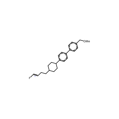 COCc1ccc(-c2ccc(C3CCC(CC/C=C/F)CC3)cc2)cc1